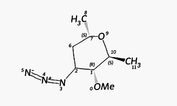 CO[C@@H]1C(N=[N+]=[N-])C[C@H](C)O[C@H]1C